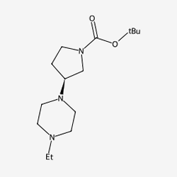 CCN1CCN([C@H]2CCN(C(=O)OC(C)(C)C)C2)CC1